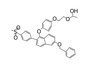 CC(O)OCCOc1ccc(Oc2c(-c3ccc(S(C)(=O)=O)cc3)ccc3cc(OCc4ccccc4)ccc23)cc1